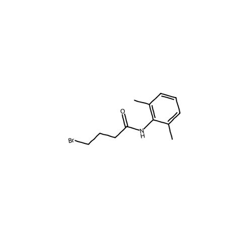 Cc1cccc(C)c1NC(=O)CCCBr